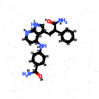 NC(=O)C(=Cc1c[nH]c2nccc(Nc3ccc(C(N)=O)cc3)c12)c1ccccc1